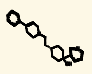 O[C@]1(c2cccnc2)CC[C@@H](CCN2CC=C(c3ccccc3)CC2)CC1